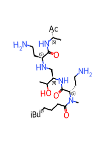 CC[C@H](C)CCCC(=O)N(C)[C@@H](CCN)C(=O)N[C@H](CN[C@@H](CCN)C(=O)N[C@@H](C)C(C)=O)C(C)O